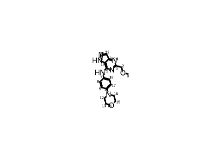 COCc1nc(Nc2ccc(N3CCOCC3)cc2)c2[nH]ncc2n1